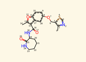 Cc1ncsc1COc1ccc2oc(C)c(C(=O)NC3CCCCNC3=O)c2c1